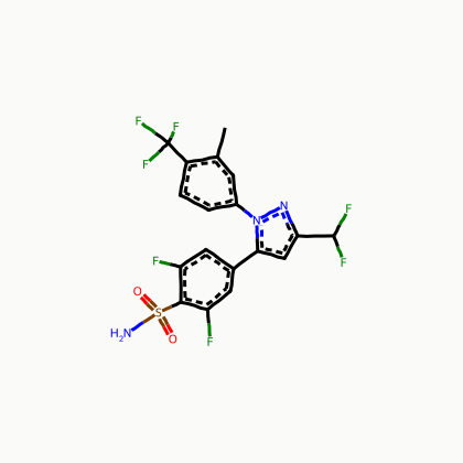 Cc1cc(-n2nc(C(F)F)cc2-c2cc(F)c(S(N)(=O)=O)c(F)c2)ccc1C(F)(F)F